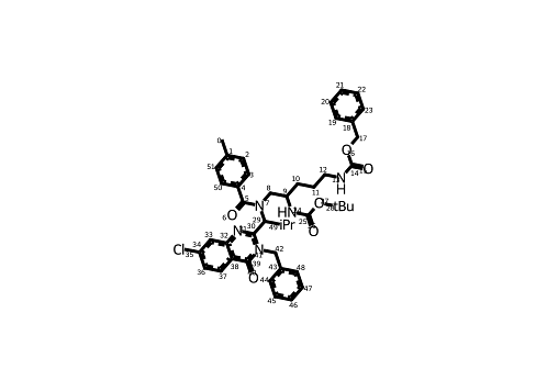 Cc1ccc(C(=O)N(CC(CCCNC(=O)OCc2ccccc2)NC(=O)OC(C)(C)C)C(c2nc3cc(Cl)ccc3c(=O)n2Cc2ccccc2)C(C)C)cc1